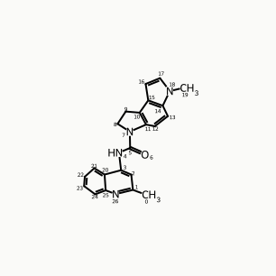 Cc1cc(NC(=O)N2CCc3c2ccc2c3ccn2C)c2ccccc2n1